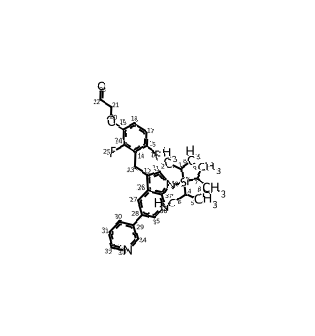 CC(C)[Si](C(C)C)(C(C)C)n1cc(Cc2c(F)ccc(OCC=O)c2F)c2cc(-c3cccnc3)cnc21